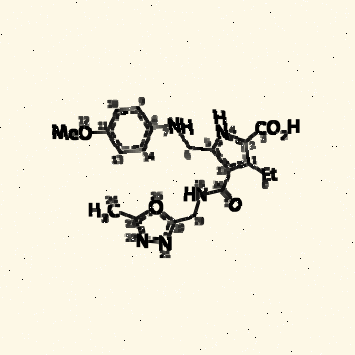 CCc1c(C(=O)O)[nH]c(CNc2ccc(OC)cc2)c1C(=O)NCc1nnc(C)o1